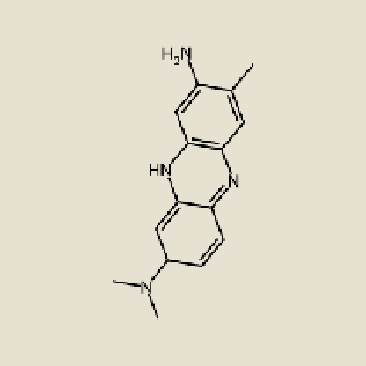 Cc1cc2c(cc1N)NC1=CC(N(C)C)C=CC1=N2